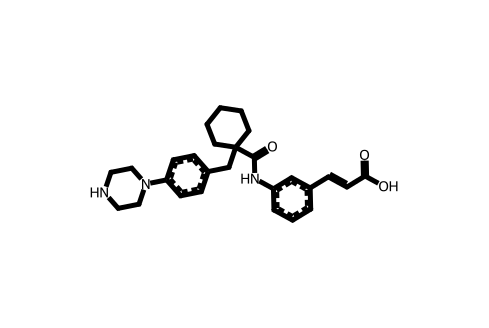 O=C(O)/C=C/c1cccc(NC(=O)C2(Cc3ccc(N4CCNCC4)cc3)CCCCC2)c1